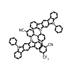 N#Cc1ccc(-c2cc(-c3ccc(C(F)(F)F)cc3C#N)ccc2-n2c3ccccc3c3cc4c5ccccc5n(-c5ccccc5)c4cc32)c(-n2c3ccccc3c3cc4c5ccccc5n(-c5ccccc5)c4cc32)c1